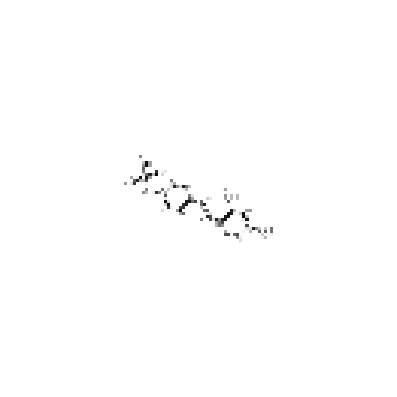 O=S(=O)(O)Oc1ccc(N=Nc2ccc(O)cc2O)cc1